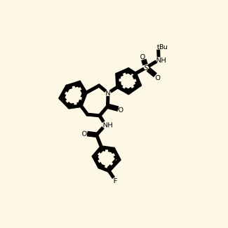 CC(C)(C)NS(=O)(=O)c1ccc(N2Cc3ccccc3CC(NC(=O)c3ccc(F)cc3)C2=O)cc1